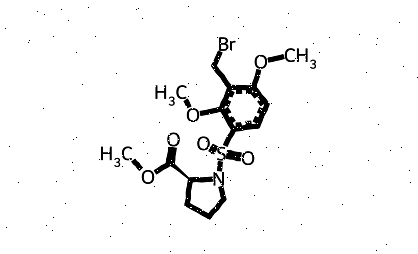 COC(=O)[C@@H]1CCCN1S(=O)(=O)c1ccc(OC)c(CBr)c1OC